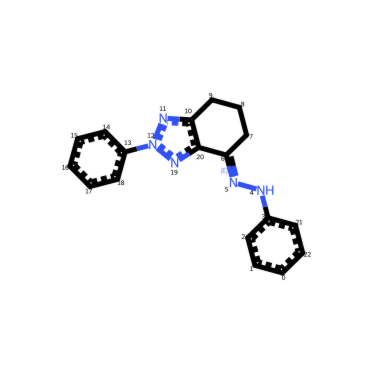 c1ccc(N/N=C2\CCCc3nn(-c4ccccc4)nc32)cc1